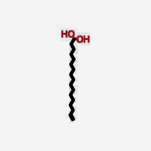 C=CCCCCCCCCCCCCCCC(O)O